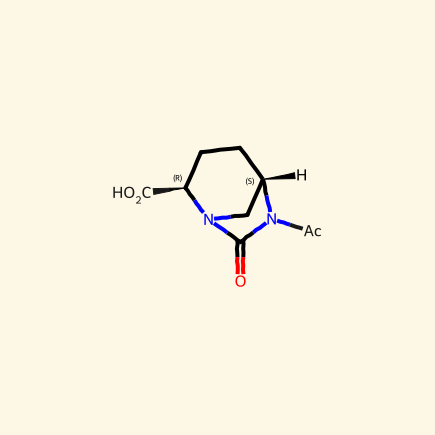 CC(=O)N1C(=O)N2C[C@@H]1CC[C@@H]2C(=O)O